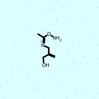 C=C(CO)C/N=C(/C)ON